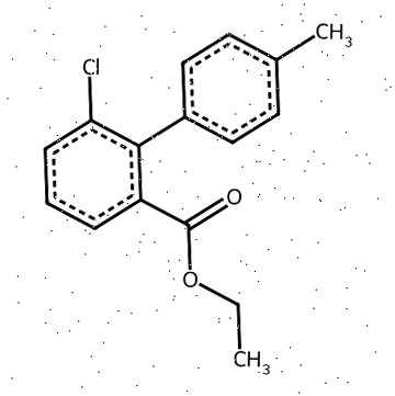 CCOC(=O)c1cccc(Cl)c1-c1ccc(C)cc1